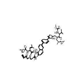 C=CCCN(Cc1nc2ccc3cc(-c4ccc(-c5cnc(CN(C[C@H](C)COC)C(=O)[C@@H](NC(=O)OC)C(C)C)[nH]5)cc4)ccc3c2[nH]1)C(=O)C(C=C(C)C)NC(=O)OC